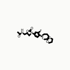 CC(=O)NCC1CN(c2ccc(N3CCCC4(CC3)OCCCS4)c(F)c2)C(=O)O1